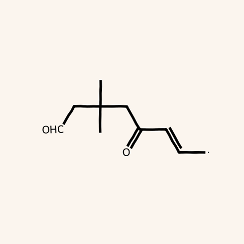 [CH2]C=CC(=O)CC(C)(C)CC=O